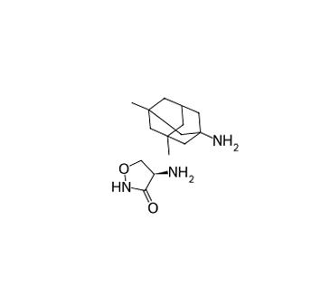 CC12CC3CC(C)(C1)CC(N)(C3)C2.N[C@@H]1CONC1=O